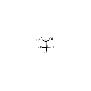 [CH2]CCC(O)C(F)(F)F